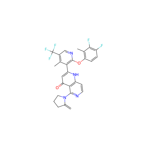 C=C1CCCN1c1nccc2[nH]c(-c3c(Oc4ccc(F)c(F)c4C)ncc(C(F)(F)F)c3C)cc(=O)c12